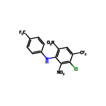 O=[N+]([O-])c1cc(C(F)(F)F)c(Cl)c([N+](=O)[O-])c1Nc1ccc(C(F)(F)F)cc1